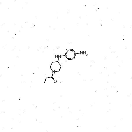 CCC(=O)N1CCC(Nc2ccc(N)cn2)CC1